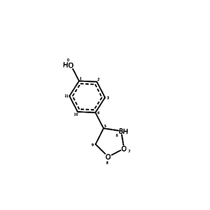 Oc1ccc(C2BOOC2)cc1